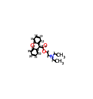 CCN(CC)CCOC(=O)C1c2ccccc2Oc2ccccc21